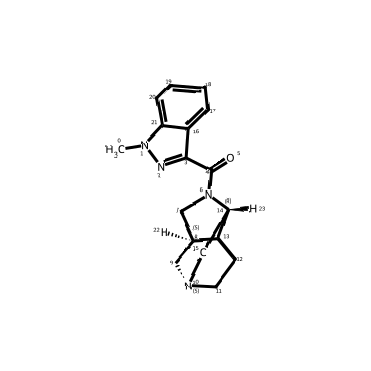 Cn1nc(C(=O)N2C[C@@H]3C[N@@]4CCC3[C@@H]2C4)c2ccccc21